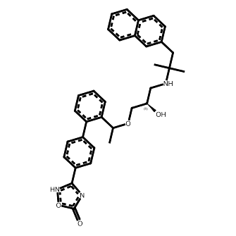 CC(OC[C@H](O)CNC(C)(C)Cc1ccc2ccccc2c1)c1ccccc1-c1ccc(-c2nc(=O)o[nH]2)cc1